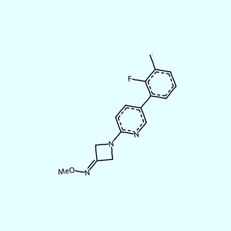 [CH2]c1cccc(-c2ccc(N3CC(=NOC)C3)nc2)c1F